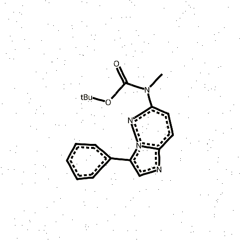 CN(C(=O)OC(C)(C)C)c1ccc2ncc(-c3ccccc3)n2n1